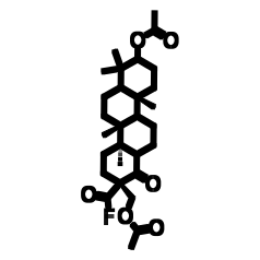 CC(=O)OC[C@@]1(C(=O)F)CC[C@]2(C)C(CCC3[C@@]4(C)CCC(OC(C)=O)C(C)(C)C4CC[C@]32C)C1=O